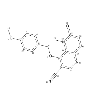 COc1ccc(COc2c(C#N)cnc3ccc(=O)n(C)c23)cc1